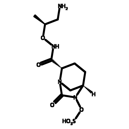 C[C@@H](CN)ONC(=O)[C@@H]1CC[C@@H]2CN1C(=O)N2OS(=O)(=O)O